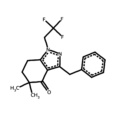 CC1(C)CCc2c(c(Cc3ccccc3)nn2CC(F)(F)F)C1=O